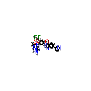 CN1CCN(C2(C(=O)Nc3cc(-n4cnc5cc(-c6cccnc6)ccc5c4=O)ccc3OC(F)F)CC2)CC1